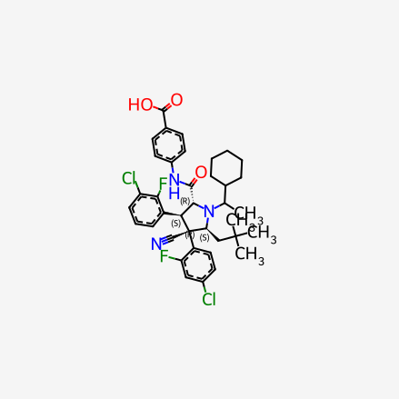 CC(C1CCCCC1)N1[C@@H](CC(C)(C)C)[C@](C#N)(c2ccc(Cl)cc2F)[C@@H](c2cccc(Cl)c2F)[C@@H]1C(=O)Nc1ccc(C(=O)O)cc1